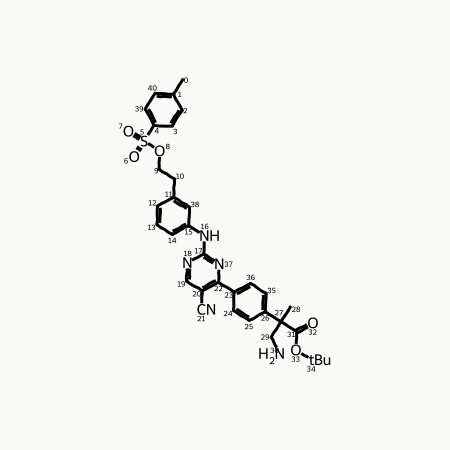 Cc1ccc(S(=O)(=O)OCCc2cccc(Nc3ncc(C#N)c(-c4ccc(C(C)(CN)C(=O)OC(C)(C)C)cc4)n3)c2)cc1